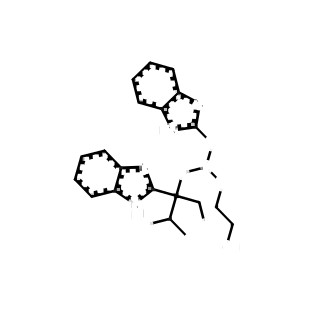 CC(O)C(CO)(OB(OCCO)Oc1nc2ccccc2[nH]1)c1nc2ccccc2[nH]1